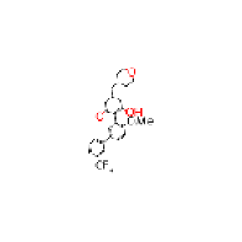 COc1ccc(-c2cccc(C(F)(F)F)c2)cc1C1=C(O)CC(CC2CCOCC2)CC1=O